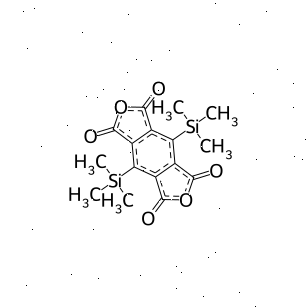 C[Si](C)(C)c1c2c(=O)oc(=O)c2c([Si](C)(C)C)c2c(=O)oc(=O)c12